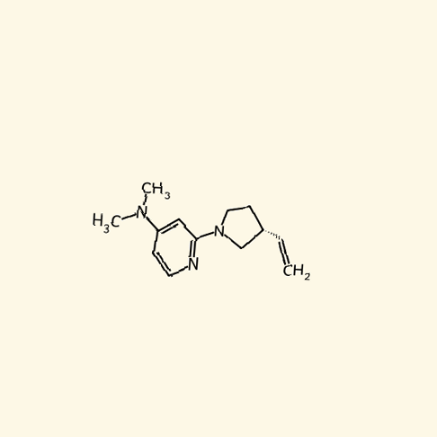 C=C[C@H]1CCN(c2cc(N(C)C)ccn2)C1